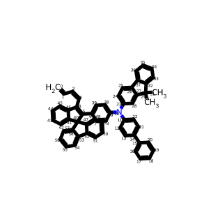 C=C/C=C\C1=C(c2ccc(N(c3ccc(-c4ccccc4)cc3)c3ccc4c(c3)C(C)(C)c3ccccc3-4)cc2)C2(c3ccccc31)c1ccccc1-c1ccccc12